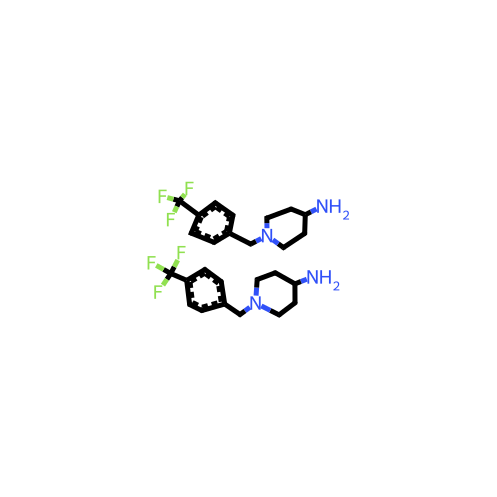 NC1CCN(Cc2ccc(C(F)(F)F)cc2)CC1.NC1CCN(Cc2ccc(C(F)(F)F)cc2)CC1